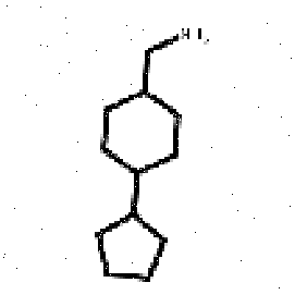 NCC1CCC(C2CCCC2)CC1